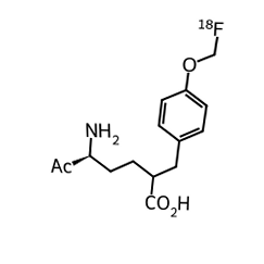 CC(=O)[C@@H](N)CCC(Cc1ccc(OC[18F])cc1)C(=O)O